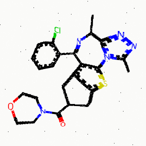 Cc1nnc2n1-c1sc3c(c1C(c1ccccc1Cl)=NC2C)CC(C(=O)N1CCOCC1)C3